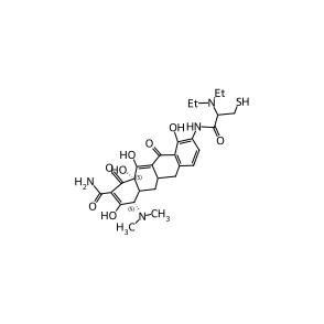 CCN(CC)C(CS)C(=O)Nc1ccc2c(c1O)C(=O)C1=C(O)[C@]3(O)C(=O)C(C(N)=O)=C(O)[C@@H](N(C)C)C3CC1C2